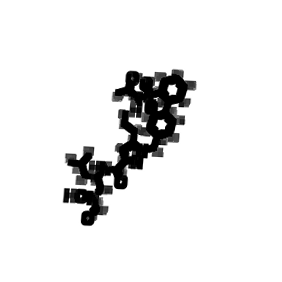 CCCc1cc(C(=O)N[C@H](CC(C)C)CN(O)C=O)nn1Cc1ccc(-c2ccccc2S(=O)(=O)NC(C)=O)cc1